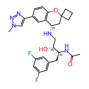 CC(=O)N[C@@H](Cc1cc(F)cc(F)c1)[C@H](O)CN[C@H]1CC2(CCC2)Oc2ccc(-c3cn(C)nn3)cc21